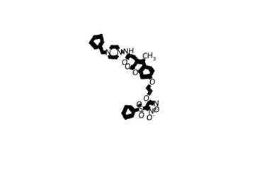 Cc1c(CC(=O)NN2CCN(Cc3ccccc3)CC2)c(=O)oc2cc(OCCOc3no[n+]([O-])c3S(=O)(=O)c3ccccc3)ccc12